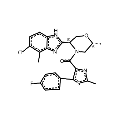 Cc1nc(C(=O)N2C[C@@H](C)OC[C@@H]2c2nc3c(C)c(Cl)ccc3[nH]2)c(-c2ccc(F)cc2)s1